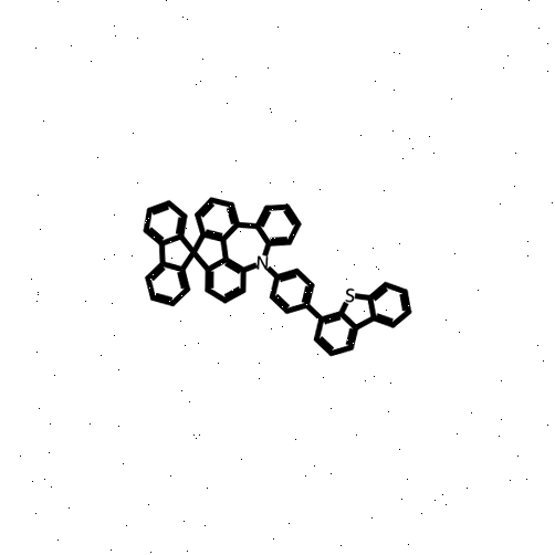 c1ccc2c(c1)-c1cccc3c1-c1c(cccc1C31c3ccccc3-c3ccccc31)N2c1ccc(-c2cccc3c2sc2ccccc23)cc1